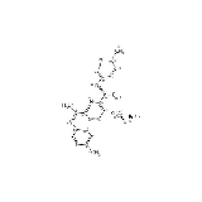 CC(=Nc1ccc(C)cc1)c1cccc(C(C)=Nc2ccc(C)cc2)n1.[Cl-].[Cl-].[Cl-].[Fe+3]